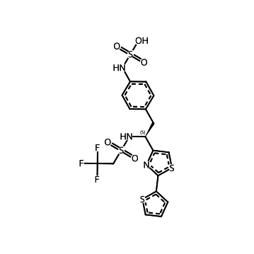 O=S(=O)(O)Nc1ccc(C[C@H](NS(=O)(=O)CC(F)(F)F)c2csc(-c3cccs3)n2)cc1